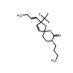 CC/C=C/C1(C(F)(F)F)C=CC2(CCN(CCCC)C(=O)O2)O1